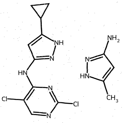 Cc1cc(N)n[nH]1.Clc1ncc(Cl)c(Nc2cc(C3CC3)[nH]n2)n1